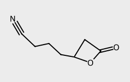 N#CCCCC1CC(=O)O1